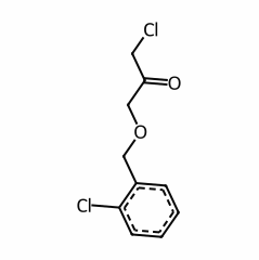 O=C(CCl)COCc1ccccc1Cl